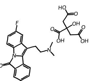 CN(C)CCc1c2n(c3ccc(F)cc13)C(=O)c1ccccc1-2.O=C(O)CC(O)(CC(=O)O)C(=O)O